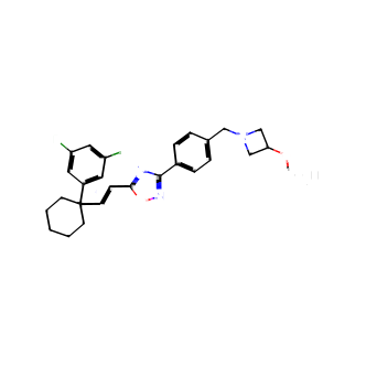 O=C(O)OC1CN(Cc2ccc(-c3noc(/C=C/C4(c5cc(F)cc(F)c5)CCCCC4)n3)cc2)C1